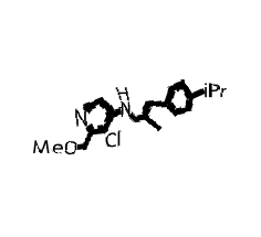 COCc1nccc(NCC(C)Cc2ccc(C(C)C)cc2)c1Cl